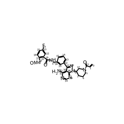 C=CC(=O)N1CCCC(n2nc(-c3cccc(CNC(=O)c4cc(F)ccc4OC)c3)c3c(N)ncnc32)C1